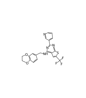 FC(F)(F)c1cc2c(NCc3ccc4c(c3)OCCO4)nc(-c3cccnc3)nc2s1